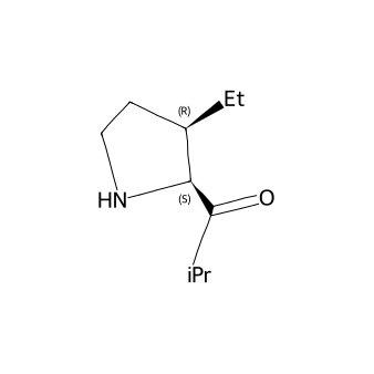 CC[C@@H]1CCN[C@@H]1C(=O)C(C)C